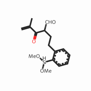 C=C(C)C(=O)C(C=O)CCc1ccccc1[SiH](OC)OC